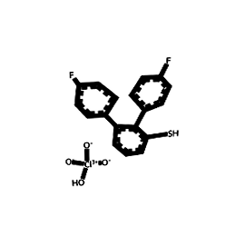 Fc1ccc(-c2cccc(S)c2-c2ccc(F)cc2)cc1.[O-][Cl+3]([O-])([O-])O